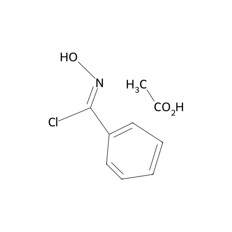 CC(=O)O.ON=C(Cl)c1ccccc1